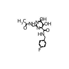 CC(=O)NCc1nc(O)c(O)c(C(=O)NCc2ccc(F)cc2)n1